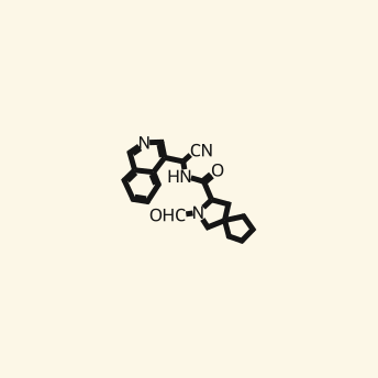 N#CC(NC(=O)C1CC2(CCCC2)CN1C=O)c1cncc2ccccc12